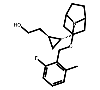 Cc1cccc(F)c1COC1CC2CCC(C1)N2C[C@@H]1C[C@H]1CCO